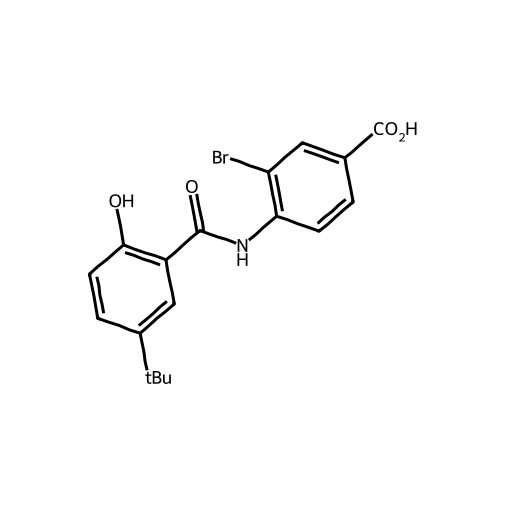 CC(C)(C)c1ccc(O)c(C(=O)Nc2ccc(C(=O)O)cc2Br)c1